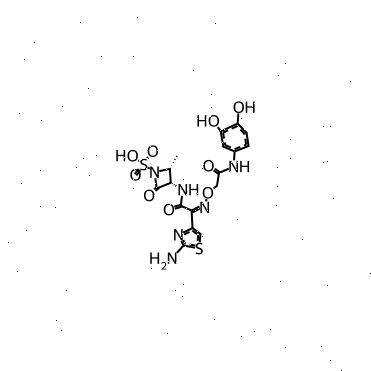 C[C@@H]1[C@H](NC(=O)C(=NOCC(=O)Nc2ccc(O)c(O)c2)c2csc(N)n2)C(=O)N1S(=O)(=O)O